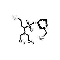 CCCC(N(CC)CC)S(=O)(=O)[O-].CC[n+]1ccccc1